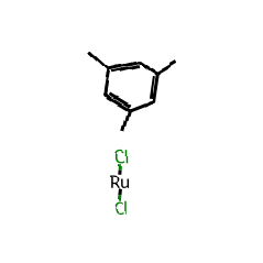 Cc1cc(C)cc(C)c1.[Cl][Ru][Cl]